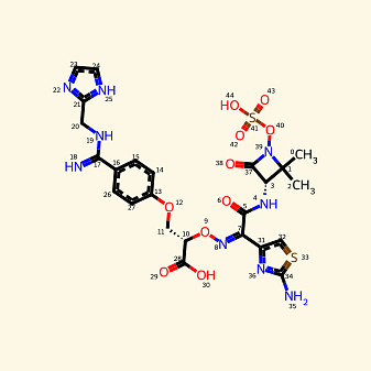 CC1(C)[C@H](NC(=O)C(=NO[C@@H](COc2ccc(C(=N)NCc3ncc[nH]3)cc2)C(=O)O)c2csc(N)n2)C(=O)N1OS(=O)(=O)O